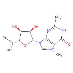 [2H]C(O)[C@H]1O[C@@H](n2c[n+](C)c3c(=O)[nH]c(N)nc32)[C@H](O)[C@@H]1O